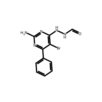 Nc1nc(NNC=O)c(Br)c(-c2ccccc2)n1